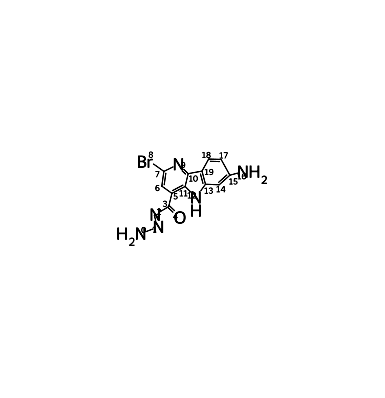 NN=NC(=O)c1cc(Br)nc2c1[nH]c1cc(N)ccc12